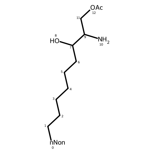 CCCCCCCCCCCCCCCC(O)C(N)COC(C)=O